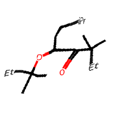 CCC(C)(C)OC(CC(C)C)C(=O)C(C)(C)CC